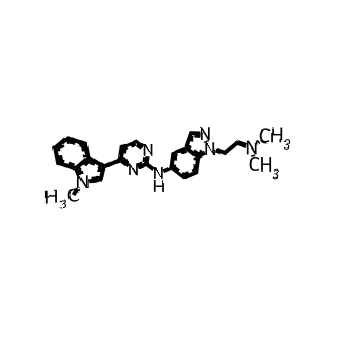 CN(C)CCn1ncc2cc(Nc3nccc(-c4cn(C)c5ccccc45)n3)ccc21